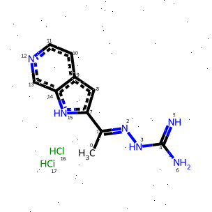 CC(=NNC(=N)N)c1cc2ccncc2[nH]1.Cl.Cl